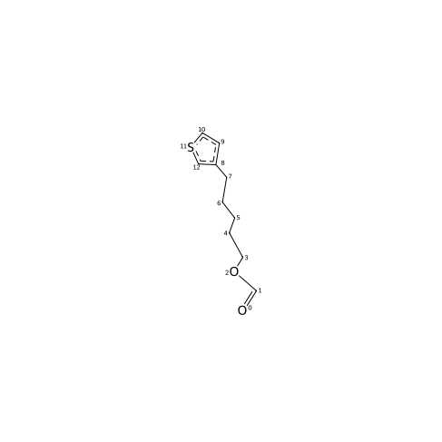 O=COCCCCCc1ccsc1